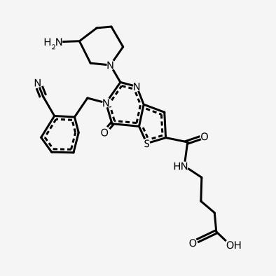 N#Cc1ccccc1Cn1c(N2CCCC(N)C2)nc2cc(C(=O)NCCCC(=O)O)sc2c1=O